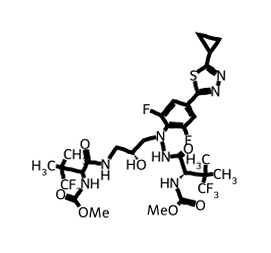 COC(=O)NC(C(=O)NC[C@@H](O)CN(NC(=O)[C@@H](NC(=O)OC)C(C)(C)C(F)(F)F)c1c(F)cc(-c2nnc(C3CC3)s2)cc1F)C(C)(C)C(F)(F)F